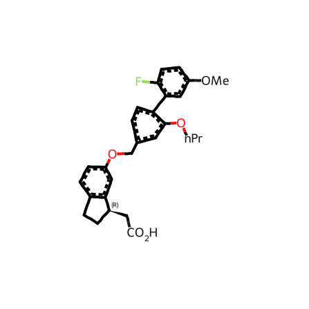 CCCOc1cc(COc2ccc3c(c2)[C@@H](CC(=O)O)CC3)ccc1-c1cc(OC)ccc1F